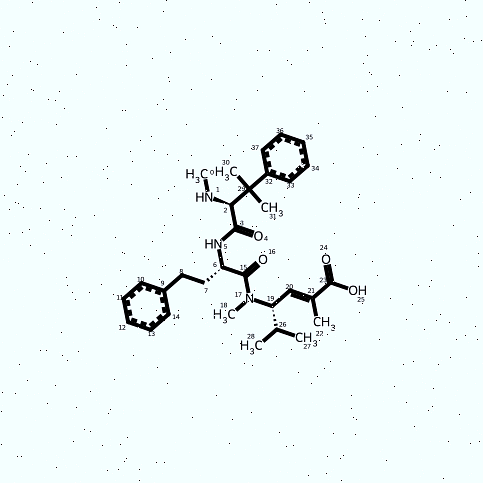 CN[C@H](C(=O)N[C@@H](CCc1ccccc1)C(=O)N(C)[C@H](/C=C(\C)C(=O)O)C(C)C)C(C)(C)c1ccccc1